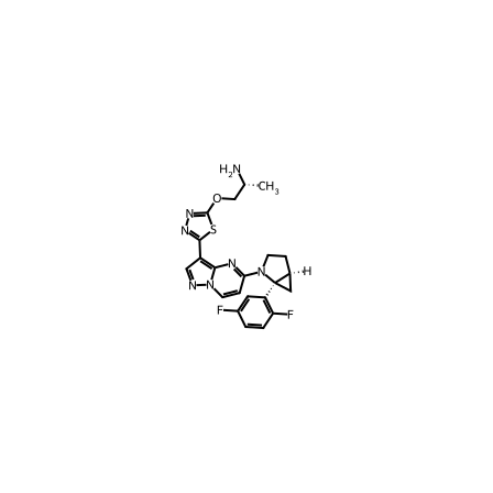 C[C@@H](N)COc1nnc(-c2cnn3ccc(N4CC[C@H]5C[C@]54c4cc(F)ccc4F)nc23)s1